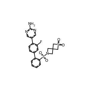 Nc1ncc(-c2ccc(-c3ccccc3S(=O)(=O)N3CC4(C3)CS(=O)(=O)C4)cc2F)cn1